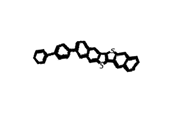 C1=CC(c2ccc(-c3ccc4cc5c(cc4c3)sc3c4cc6ccccc6cc4sc53)cc2)=CCC1